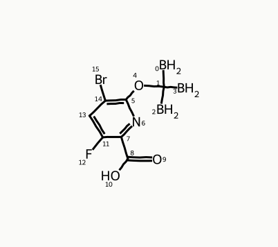 BC(B)(B)Oc1nc(C(=O)O)c(F)cc1Br